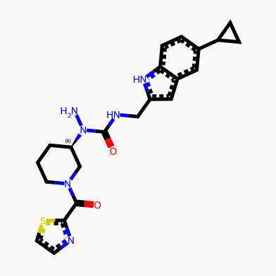 NN(C(=O)NCc1cc2cc(C3CC3)ccc2[nH]1)[C@@H]1CCCN(C(=O)c2nccs2)C1